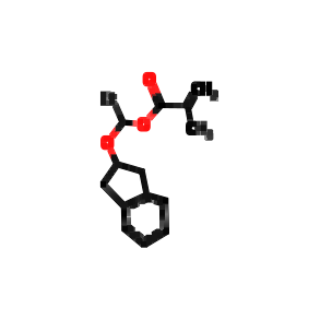 C=C(C)C(=O)OC(CC)OC1Cc2ccccc2C1